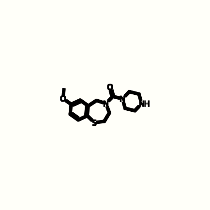 COc1ccc2c(c1)CN(C(=O)N1CCNCC1)CCS2